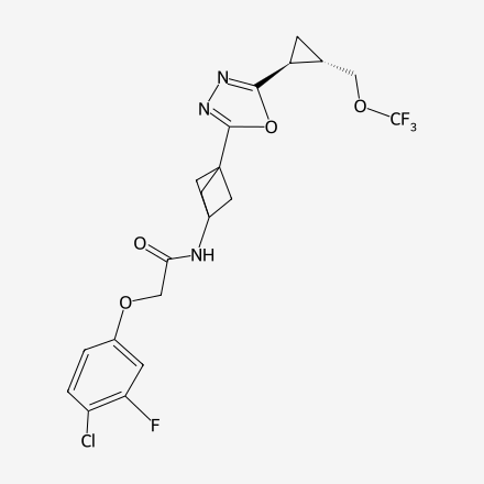 O=C(COc1ccc(Cl)c(F)c1)NC12CC(c3nnc([C@H]4C[C@@H]4COC(F)(F)F)o3)(C1)C2